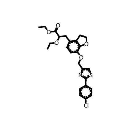 CCOC(=O)C(Cc1ccc(OCc2csc(-c3ccc(Cl)cc3)n2)c2c1CCO2)OCC